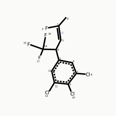 C/C(F)=C/C(c1cc(Cl)c(Cl)c(Cl)c1)C(F)(F)F